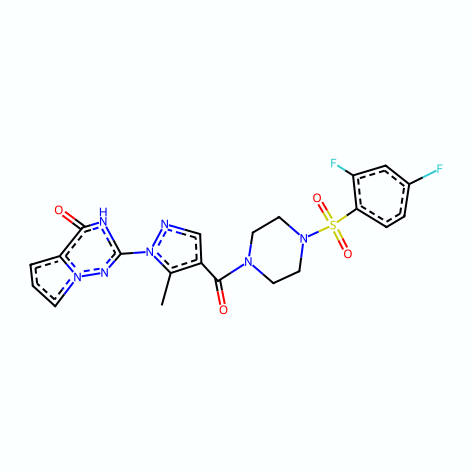 Cc1c(C(=O)N2CCN(S(=O)(=O)c3ccc(F)cc3F)CC2)cnn1-c1nn2cccc2c(=O)[nH]1